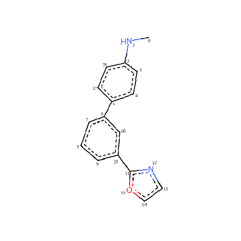 CNc1ccc(-c2cccc(-c3ncco3)c2)cc1